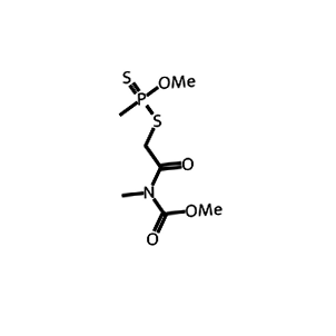 COC(=O)N(C)C(=O)CSP(C)(=S)OC